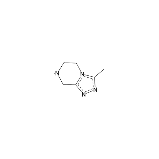 Cc1nnc2n1CC[N]C2